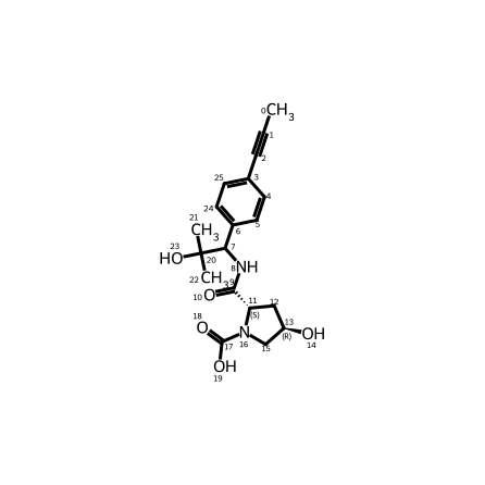 CC#Cc1ccc(C(NC(=O)[C@@H]2C[C@@H](O)CN2C(=O)O)C(C)(C)O)cc1